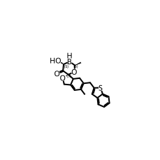 CC1=C(Cc2cc3ccccc3s2)CC2C(=C1)CO[C@]21O[C@H](C)B[C@H](O)C1=O